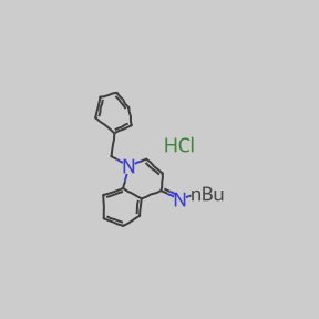 CCCCN=c1ccn(Cc2ccccc2)c2ccccc12.Cl